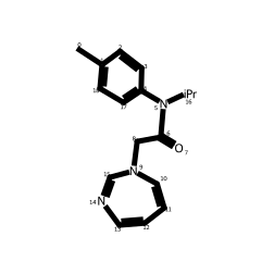 Cc1ccc(N(C(=O)CN2C=CC=CN=C2)C(C)C)cc1